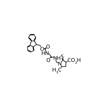 CC1CC(C(=O)O)C(=S)N1CNC(=O)CNC(=O)OCC1c2ccccc2-c2ccccc21